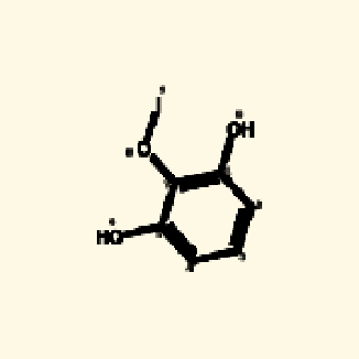 Oc1cccc(O)c1OI